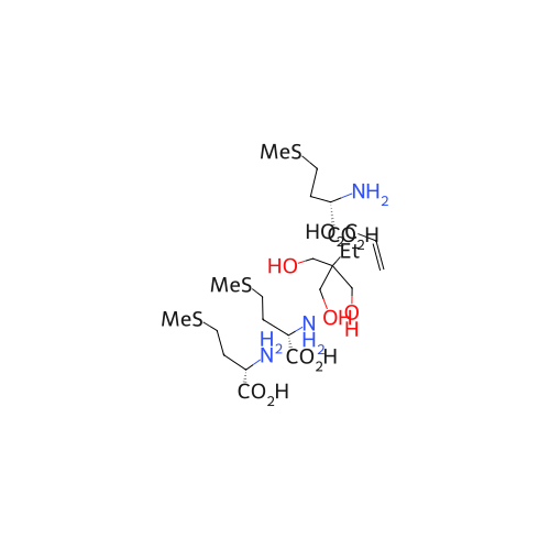 C=CC(=O)O.CCC(CO)(CO)CO.CSCC[C@H](N)C(=O)O.CSCC[C@H](N)C(=O)O.CSCC[C@H](N)C(=O)O